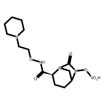 O=C(NOCCN1CCCCC1)[C@@H]1CCC2CN1C(=O)N2OS(=O)(=O)O